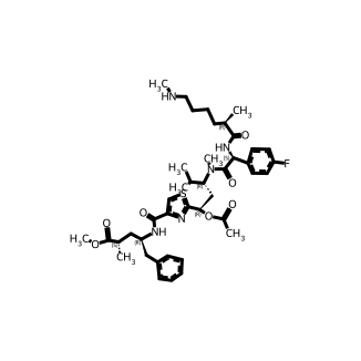 CNCCCC[C@@H](C)C(=O)N[C@H](C(=O)N(C)[C@H](C[C@@H](OC(C)=O)c1nc(C(=O)N[C@@H](Cc2ccccc2)C[C@H](C)C(=O)OC)cs1)C(C)C)c1ccc(F)cc1